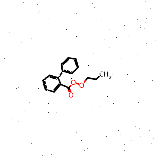 [CH2]CCOOC(=O)c1ccccc1-c1ccccc1